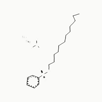 CCCCCCCCCCCCOS(=O)(=O)c1ccccc1.[Na+].[Na+].[Na+].[O-]B([O-])[O-]